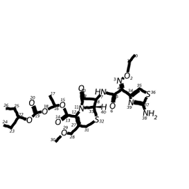 CCON=C(C(=O)NC1C(=O)N2C(C(=O)OC(C)OC(=O)OC(CC)CC)=C(COC)CS[C@@H]12)c1csc(N)n1